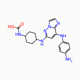 Nc1ccc(Nc2cc(NC3CCC(NC(=O)O)CC3)nn3ccnc23)cc1